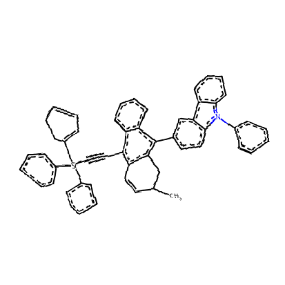 CC1C=Cc2c(c(-c3ccc4c(c3)c3ccccc3n4-c3ccccc3)c3ccccc3c2C#C[Si](C2=CC=CCC2)(c2ccccc2)c2ccccc2)C1